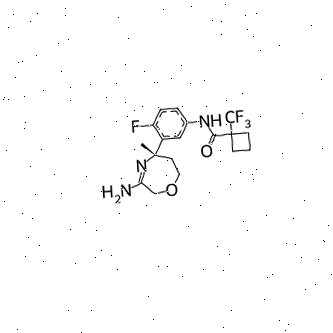 C[C@@]1(c2cc(NC(=O)C3(C(F)(F)F)CCC3)ccc2F)CCOCC(N)=N1